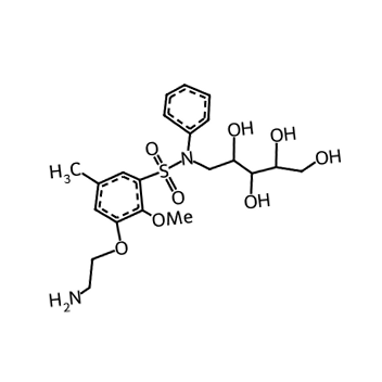 COc1c(OCCN)cc(C)cc1S(=O)(=O)N(CC(O)C(O)C(O)CO)c1ccccc1